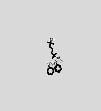 CC(C)(O)CCCC(C)(C)O.O=S(=O)(O)c1ccccc1.O=S(=O)(O)c1ccccc1